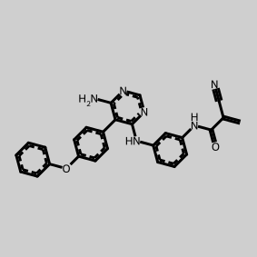 C=C(C#N)C(=O)Nc1cccc(Nc2ncnc(N)c2-c2ccc(Oc3ccccc3)cc2)c1